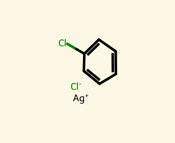 Clc1ccccc1.[Ag+].[Cl-]